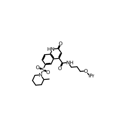 CC(C)OCCCNC(=O)c1cc(=O)[nH]c2ccc(S(=O)(=O)N3CCCCC3C)cc12